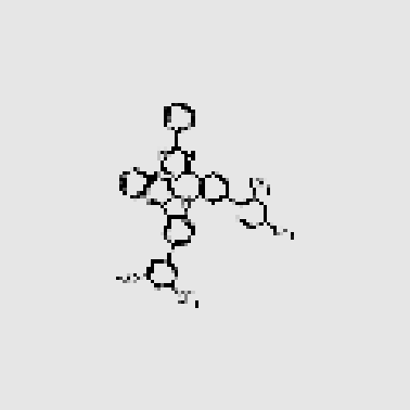 FC(F)(F)c1cc(-c2ccc3c(c2)c2ccccc2n3-c2cc(-c3ccc(C(F)(F)F)cc3C(F)(F)F)ccc2-c2nc(-c3ccccc3)nc(-c3ccccc3)n2)cc(C(F)(F)F)c1